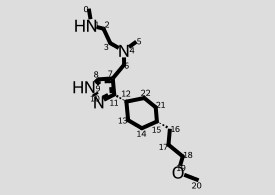 CNCCN(C)Cc1c[nH]nc1[C@H]1CC[C@@H](CCCOC)CC1